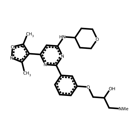 CNCC(O)COc1cccc(-c2nc(NC3CCOCC3)cc(-c3c(C)noc3C)n2)c1